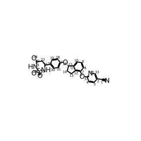 N#Cc1ccc(Oc2cccc3c2CC[C@H]3Oc2ccc(C3CC(=O)NS(=O)(=O)N3)cc2)nc1